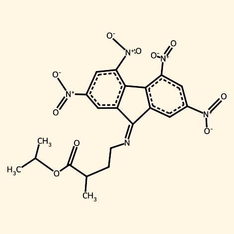 CC(C)OC(=O)C(C)CCN=C1c2cc([N+](=O)[O-])cc([N+](=O)[O-])c2-c2c1cc([N+](=O)[O-])cc2[N+](=O)[O-]